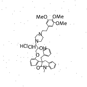 COc1cc(CCN2CCN(CC(O)COc3ccccc3C3(Cc4ccccc4)Cc4ccccc4N(C)C3=O)CC2)cc(OC)c1OC.Cl.Cl